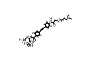 CN(C)CCCCNCC(=O)Nc1ccc(C#Cc2ccc(C(=O)N[C@@H](CN)C(=O)NO)cc2)cc1